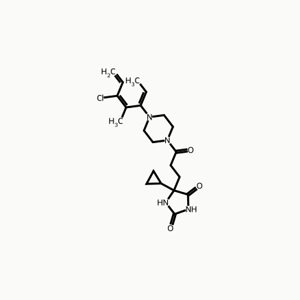 C=C/C(Cl)=C(C)\C(=C/C)N1CCN(C(=O)CCC2(C3CC3)NC(=O)NC2=O)CC1